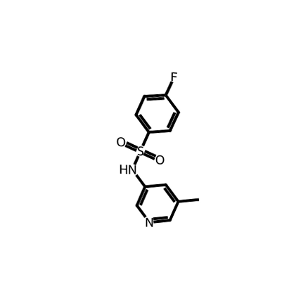 Cc1cncc(NS(=O)(=O)c2ccc(F)cc2)c1